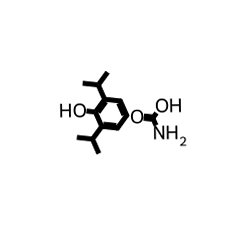 CC(C)c1cccc(C(C)C)c1O.NC(=O)O